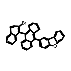 Brc1ccc2ccccc2c1-c1c2ccccc2c(-c2ccc3oc4ccccc4c3c2)c2ccccc12